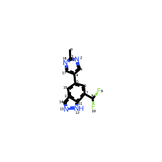 Cc1ncc(-c2cc(C(F)F)c3[nH]ncc3c2)cn1